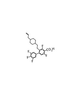 C=CCC1CCC(CCc2c(-c3cc(F)c(F)c(F)c3)cc(F)c(C(=O)O)c2F)CC1